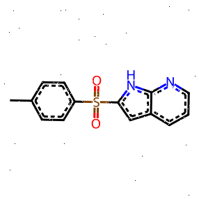 Cc1ccc(S(=O)(=O)c2cc3cccnc3[nH]2)cc1